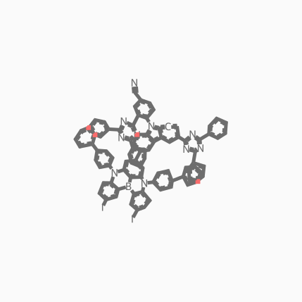 N#Cc1ccc(-n2c3ccc(-c4cc5c6c(c4)N(c4ccc(-c7ccccc7)cc4)c4ccc(I)cc4B6c4cc(I)ccc4N5c4ccc(-c5ccccc5)cc4)cc3c3cc(-c4nc(-c5ccccc5)nc(-c5ccccc5)n4)ccc32)c(-c2nc(-c3ccccc3)nc(-c3ccccc3)n2)c1